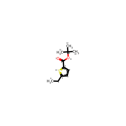 CCc1ccc(C(=O)OC(C)(C)C)s1